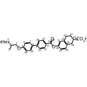 CCCCCC[C@H](C)COc1ccc(-c2ccc(C(=O)Oc3ccc4c(c3)CCC(C(=O)O)C4)cc2)cc1